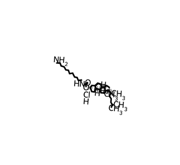 CC(C)CCC[C@@H](C)[C@H]1CC[C@H]2[C@@H]3CC=C4C[C@@H](OC(=O)NCCCCCCCCCCCCN)CC[C@]4(C)[C@H]3CC[C@]12C.Cl